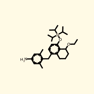 CCOC1CCCc2c(Cc3c(C)cc(N)cc3C)ccc(O[Si](C(C)C)(C(C)C)C(C)C)c21